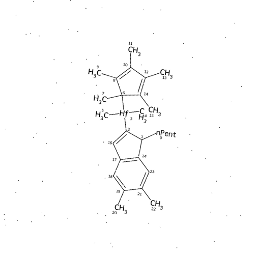 CCCCCC1[C]([Hf]([CH3])([CH3])[C]2(C)C(C)=C(C)C(C)=C2C)=Cc2cc(C)c(C)cc21